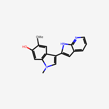 COc1cc2c(-c3cc4cccnc4[nH]3)cn(C)c2cc1O